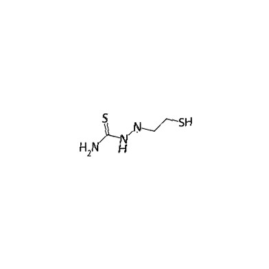 NC(=S)N[N]CCS